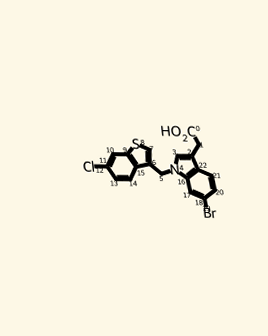 O=C(O)Cc1cn(Cc2csc3cc(Cl)ccc23)c2cc(Br)ccc12